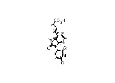 Cn1c(=O)n(C2CCC(=O)NC2=O)c2cccc(/C=C/CC(=O)O)c21